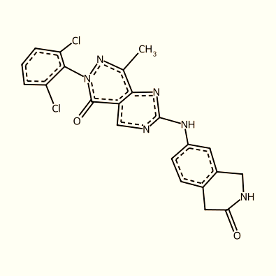 Cc1nn(-c2c(Cl)cccc2Cl)c(=O)c2cnc(Nc3ccc4c(c3)CNC(=O)C4)nc12